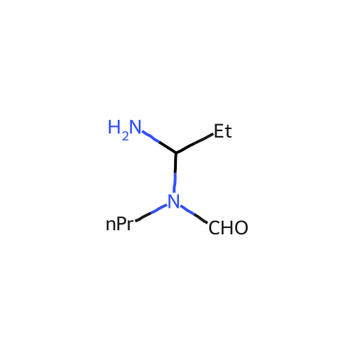 CCCN(C=O)C(N)CC